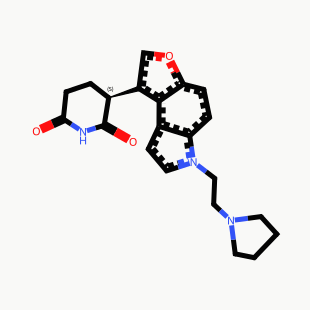 O=C1CC[C@@H](c2coc3ccc4c(ccn4CCN4CCCC4)c23)C(=O)N1